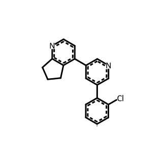 Clc1c[c]ccc1-c1cncc(-c2ccnc3c2CCC3)c1